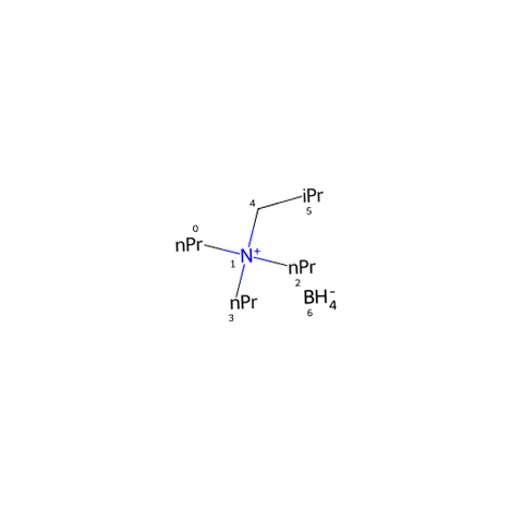 CCC[N+](CCC)(CCC)CC(C)C.[BH4-]